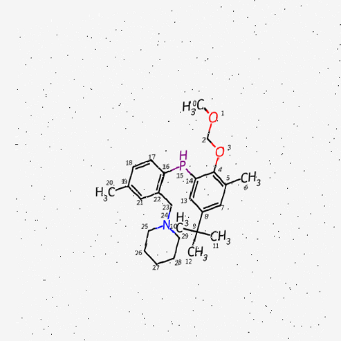 COCOc1c(C)cc(C(C)(C)C)cc1Pc1ccc(C)cc1CN1CCCCC1